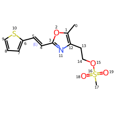 Cc1oc(/C=C/c2cccs2)nc1CCOS(C)(=O)=O